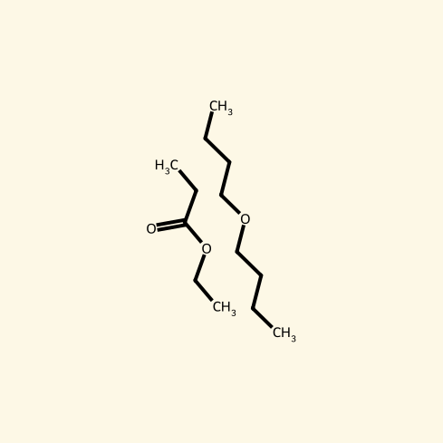 CCCCOCCCC.CCOC(=O)CC